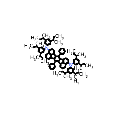 CCC(C)c1cc(C(C)CC)cc(N(c2cc(C(C)CC)cc(C(C)CC)c2)c2ccc3c4c(-c5ccccc5)c5c6ccc(N(c7cc(C(C)CC)cc(C(C)CC)c7)c7cc(C(C)CC)cc(C(C)CC)c7)c7cccc(c5c(-c5ccccc5)c4c4cccc2c43)c76)c1